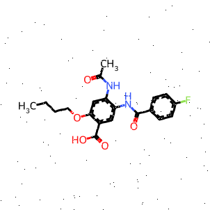 CCCCOc1cc(NC(C)=O)c(NC(=O)c2ccc(F)cc2)cc1C(=O)O